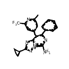 Cc1cc(-c2c(-c3ccccc3)nc(N)n3nc(C4CC4)nc23)cc(C(F)(F)F)n1